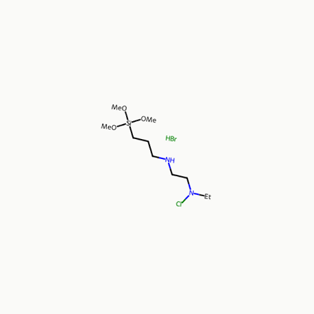 Br.CCN(Cl)CCNCCC[Si](OC)(OC)OC